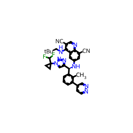 Cc1c(-c2ccnnc2)cccc1[C@H](Nc1cc(C#N)c2ncc(C#N)c(NCC(C)(C)C)c2c1)c1cn(C2(C(F)F)CC2)nn1